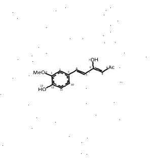 COc1cc(/C=C/C(O)=C/C(C)=O)ccc1O